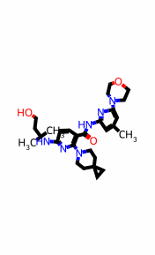 Cc1cc(NC(=O)c2ccc(NC(C)(C)CCO)nc2N2CCC3(CC2)CC3)nc(N2CCOCC2)c1